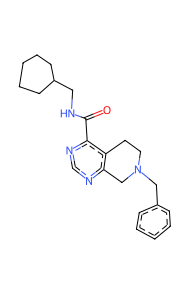 O=C(NCC1CCCCC1)c1ncnc2c1CCN(Cc1ccccc1)C2